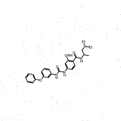 CCN(CC)CC(C)NC(=O)c1ccc(NC(=O)Nc2cccc(Oc3ccccc3)c2)cc1OC